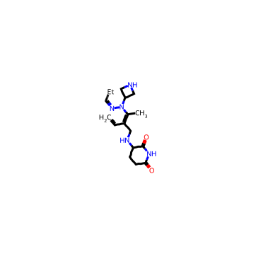 C=C/C(CNC1CCC(=O)NC1=O)=C(/C)N(/N=C\CC)C1CNC1